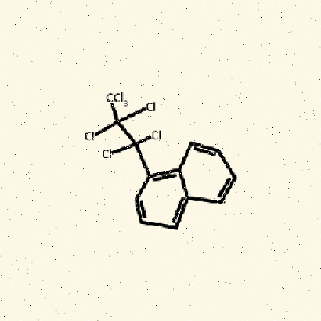 ClC(Cl)(Cl)C(Cl)(Cl)C(Cl)(Cl)c1cccc2[c]cccc12